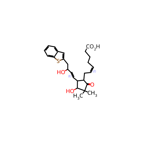 CC1(C)C(=O)C(C/C=C\CCCC(=O)O)C(/C=C/C(O)Cc2cc3ccccc3s2)C1O